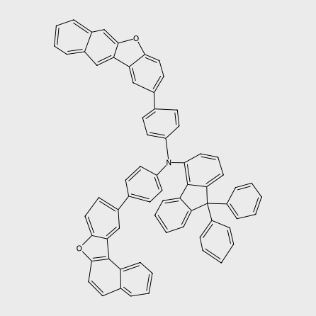 c1ccc(C2(c3ccccc3)c3ccccc3-c3c(N(c4ccc(-c5ccc6oc7cc8ccccc8cc7c6c5)cc4)c4ccc(-c5ccc6oc7ccc8ccccc8c7c6c5)cc4)cccc32)cc1